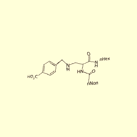 CCCCCCCCCC(=O)NC(CNCc1ccc(C(=O)O)cc1)C(=O)NCCCCCC